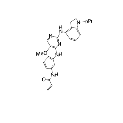 C=CC(=O)Nc1cccc(Nc2nc(Nc3cccc4c3CCN4CCC)ncc2OC)c1